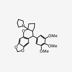 COc1cc(C2c3cc4c(cc3OC3(N5CCCC5)CCCC23)OCO4)cc(OC)c1OC